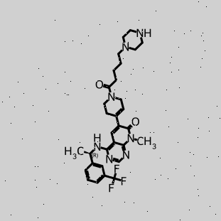 C[C@@H](Nc1ncnc2c1cc(C1=CCN(C(=O)CCCCN3CCNCC3)CC1)c(=O)n2C)c1cccc(C(F)(F)F)c1